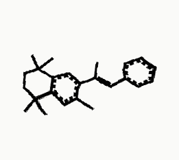 CC(=Cc1ccccc1)c1cc2c(cc1C)C(C)(C)CCC2(C)C